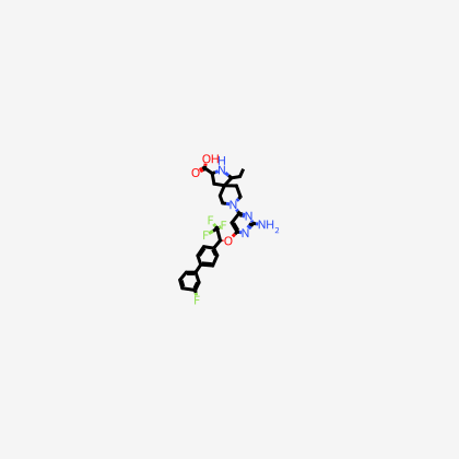 CCC1NC(C(=O)O)CC12CCN(c1cc(O[C@H](c3ccc(-c4cccc(F)c4)cc3)C(F)(F)F)nc(N)n1)CC2